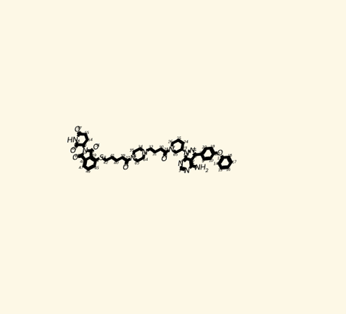 Nc1ncnc2c1c(-c1ccc(Oc3ccccc3)cc1)nn2[C@@H]1CCCN(C(=O)CCCN2CCN(C(=O)CCCCSc3cccc4c3C(=O)N(C3CCC(=O)NC3=O)C4=O)CC2)C1